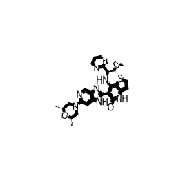 COC[C@@H](Nc1c(-c2nc3cnc(N4C[C@@H](C)O[C@@H](C)C4)cc3[nH]2)c(=O)[nH]c2ccsc12)c1ncccn1